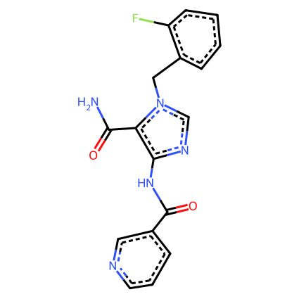 NC(=O)c1c(NC(=O)c2cccnc2)ncn1Cc1ccccc1F